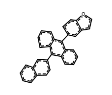 c1ccc2cc(-c3c4ccccc4c(-c4ccc5occc5c4)c4ccccc34)ccc2c1